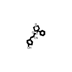 N#C/C(=C\c1ccc(O)cc1)C(=O)OC1(c2ccccc2)CCNCC1